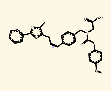 COc1ccc(OC(=O)N(CC(=O)O)Cc2ccc(/C=C\Cc3nc(-c4ccccc4)oc3C)cc2)cc1